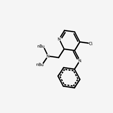 CCCCN(CCCC)CC1N=CC=C(Cl)C1=Nc1ccccc1